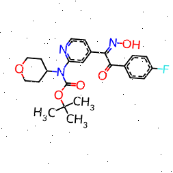 CC(C)(C)OC(=O)N(c1cc(C(=NO)C(=O)c2ccc(F)cc2)ccn1)C1CCOCC1